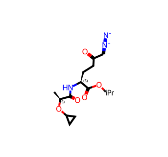 CC(C)OC(=O)[C@H](CCC(=O)C=[N+]=[N-])NC(=O)[C@H](C)OC1CC1